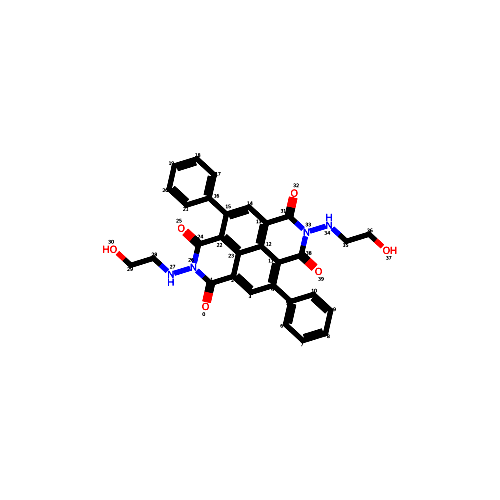 O=C1c2cc(-c3ccccc3)c3c4c(cc(-c5ccccc5)c(c24)C(=O)N1NCCO)C(=O)N(NCCO)C3=O